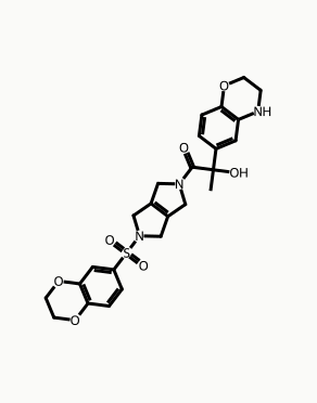 CC(O)(C(=O)N1CC2=C(C1)CN(S(=O)(=O)c1ccc3c(c1)OCCO3)C2)c1ccc2c(c1)NCCO2